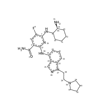 NC(=O)c1cc(F)c(NC2CCCC[C@@H]2N)nc1Nc1cccc2c1cnn2CCN1CCCC1